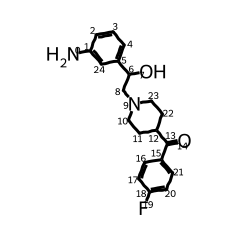 Nc1cccc(C(O)CN2CCC(C(=O)c3ccc(F)cc3)CC2)c1